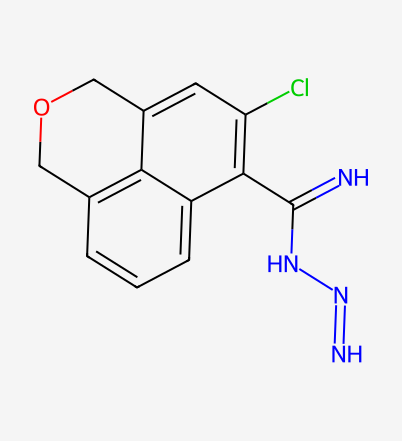 N=NNC(=N)c1c(Cl)cc2c3c(cccc13)COC2